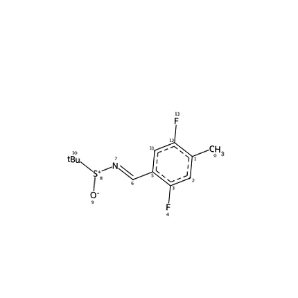 Cc1cc(F)c(/C=N/[S+]([O-])C(C)(C)C)cc1F